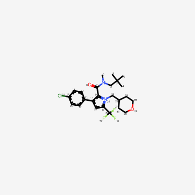 CN(CC(C)(C)C)C(=O)c1c(-c2ccc(Cl)cc2)cc(C(F)(F)F)n1CC1CCOCC1